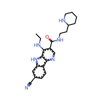 CCNc1c(C(=O)NCCC2CCCCN2)cnc2c1[nH]c1cc(C#N)ccc12